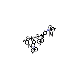 C=CC(=O)OCCN(CCOCCN(CCOC(=O)C=C)c1ccc(/C=C(\C#N)C(=O)OCC)cc1)c1ccc(/C=C(\C#N)C(=O)OCC)cc1